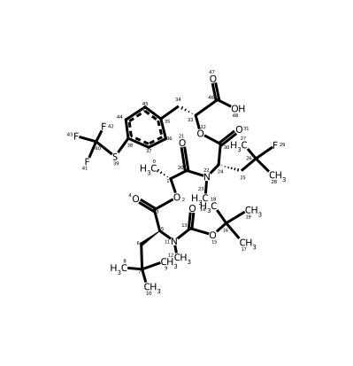 C[C@@H](OC(=O)[C@H](CC(C)(C)C)N(C)C(=O)OC(C)(C)C)C(=O)N(C)[C@@H](CC(C)(C)F)C(=O)O[C@H](Cc1ccc(SC(F)(F)F)cc1)C(=O)O